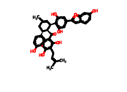 CC(C)=CCc1c(O)ccc(C(=O)[C@@H]2[C@H](c3c(O)cc(-c4cc5ccc(O)cc5o4)cc3O)C=C(C)C[C@H]2c2ccc(O)cc2)c1O